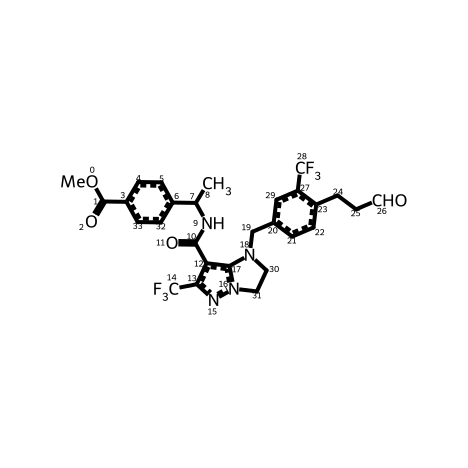 COC(=O)c1ccc(C(C)NC(=O)c2c(C(F)(F)F)nn3c2N(Cc2ccc(CCC=O)c(C(F)(F)F)c2)CC3)cc1